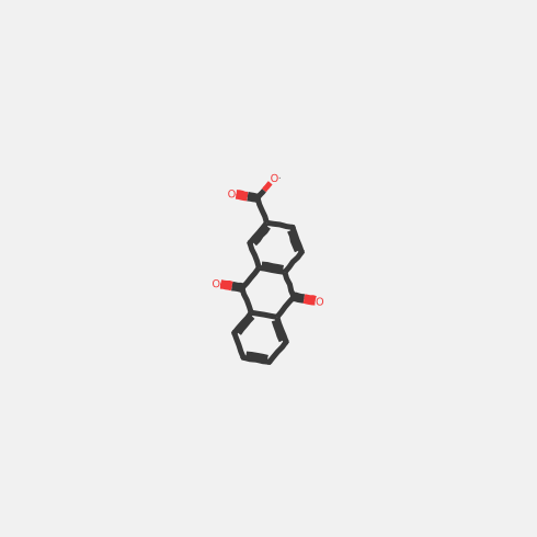 [O]C(=O)c1ccc2c(c1)C(=O)c1ccccc1C2=O